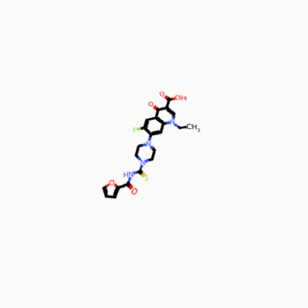 CCn1cc(C(=O)O)c(=O)c2cc(F)c(N3CCN(C(=S)NC(=O)c4ccco4)CC3)cc21